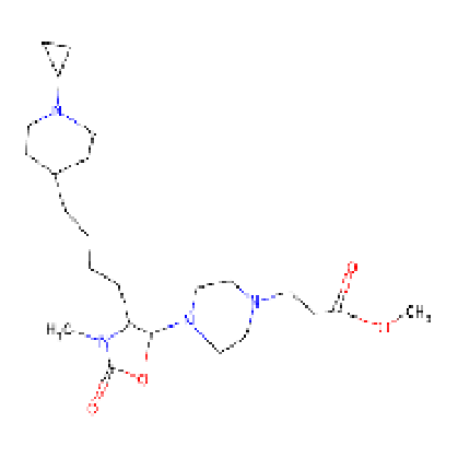 COC(=O)CCN1CCN(C2OC(=O)N(C)C2CCCCC2CCN(C3CC3)CC2)CC1